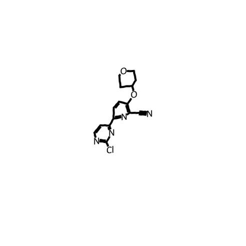 N#Cc1nc(-c2ccnc(Cl)n2)ccc1OC1CCOCC1